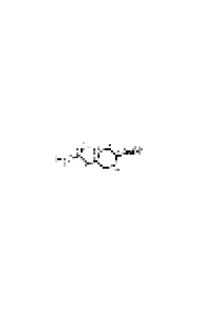 CC(C)CC1CCC(C#N)CC1